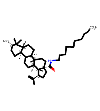 C=C(C)[C@@H]1CC[C@]2(C(=O)NCCCCCCCCCC(=O)O)CC[C@]3(C)[C@H](CCC4[C@@]5(C)CC[C@H](OC(C)=O)C(C)(C)[C@@H]5CC[C@]43C)[C@@H]12